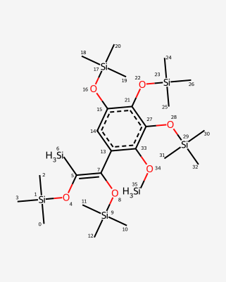 C[Si](C)(C)OC([SiH3])=C(O[Si](C)(C)C)c1cc(O[Si](C)(C)C)c(O[Si](C)(C)C)c(O[Si](C)(C)C)c1O[SiH3]